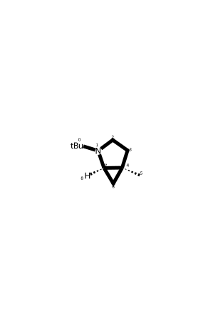 CC(C)(C)N1CC[C@@]2(C)C[C@@H]12